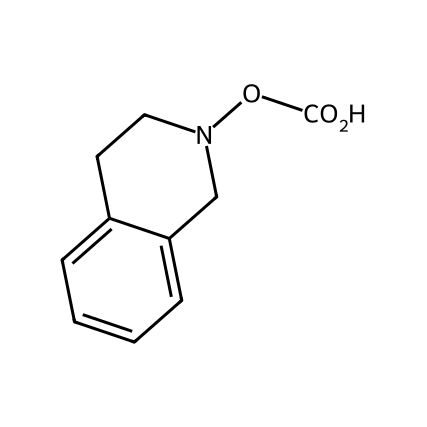 O=C(O)ON1CCc2ccccc2C1